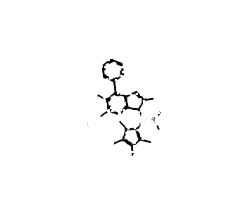 CC1=Cc2c(cc(C)c(C)c2-c2ccccc2)[CH]1[Zr+2]([C]1=C(C)C(C)=C(C)C1C)=[Si](C)C.[Cl-].[Cl-]